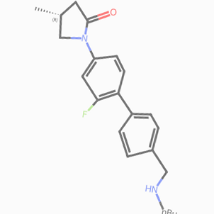 CCCCNCc1ccc(-c2ccc(N3C[C@H](C)CC3=O)cc2F)cc1